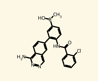 CB(O)c1ccc(NC(=O)c2ccccc2Cl)c(-c2ccc3c(N)nncc3c2)c1